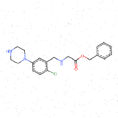 O=C(CNCc1cc(N2CCNCC2)ccc1Cl)OCc1ccccc1